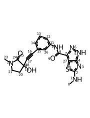 CNc1nc2[nH]nc(C(=O)Nc3cccc(C#C[C@]4(O)CCN(C)C4=O)c3)c2s1